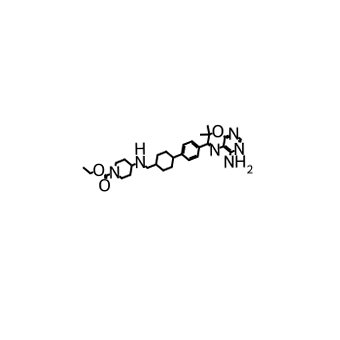 CCOC(=O)N1CCC(NCC2CCC(c3ccc(C4=Nc5c(N)ncnc5OC4(C)C)cc3)CC2)CC1